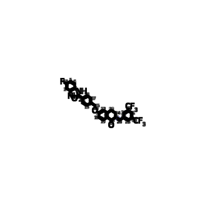 Nc1cc(F)ccc1NC(=O)c1ccc(COc2ccc3c(c2)CC/C(=C\c2cc(C(F)(F)F)cc(C(F)(F)F)c2)C3=O)cc1